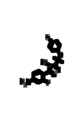 CCn1c(-c2ccc(N)cc2F)nnc1C(C)(C)Oc1ccc(F)cc1